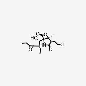 CCC1O[C@@H]1[C@H](CC)[C@H](O)[C@@]12NC(=O)[C@H](CCCl)[C@]1(C)OC2=O